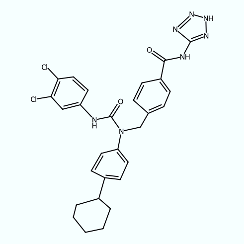 O=C(Nc1nn[nH]n1)c1ccc(CN(C(=O)Nc2ccc(Cl)c(Cl)c2)c2ccc(C3CCCCC3)cc2)cc1